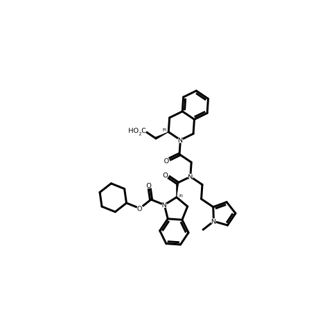 Cn1cccc1CCN(CC(=O)N1Cc2ccccc2C[C@@H]1CC(=O)O)C(=O)[C@H]1Cc2ccccc2N1C(=O)OC1CCCCC1